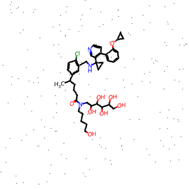 CC(CCCC(=O)N(CCCCCO)CC(O)C(O)C(O)C(O)CO)c1ccc(Cl)c(CNC2(c3cnccc3-c3ccccc3OC3CC3)CC2)c1